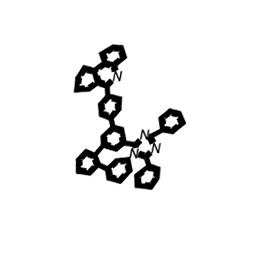 c1ccc(-c2nc(-c3ccccc3)nc(-c3cc(-c4ccc(-c5nc6ccccc6c6ccccc56)cc4)cc(-c4ccccc4-c4ccccc4)c3)n2)cc1